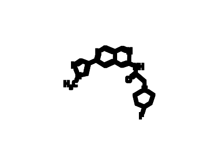 Cn1cc(-c2cc3cc(NC(=O)CN4CCC(F)CC4)ncc3cn2)cn1